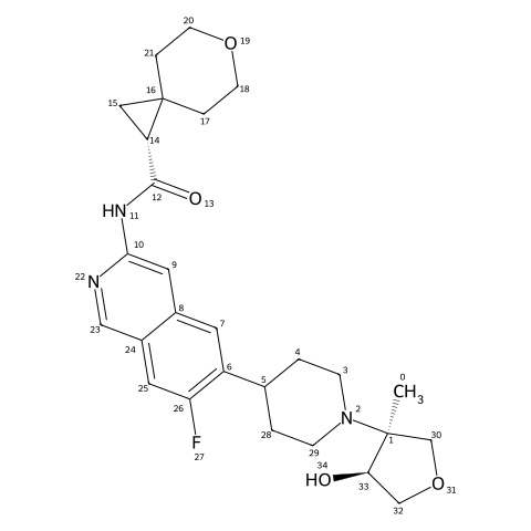 C[C@]1(N2CCC(c3cc4cc(NC(=O)[C@@H]5CC56CCOCC6)ncc4cc3F)CC2)COC[C@H]1O